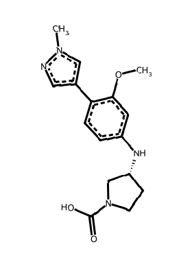 COc1cc(N[C@@H]2CCN(C(=O)O)C2)ccc1-c1cnn(C)c1